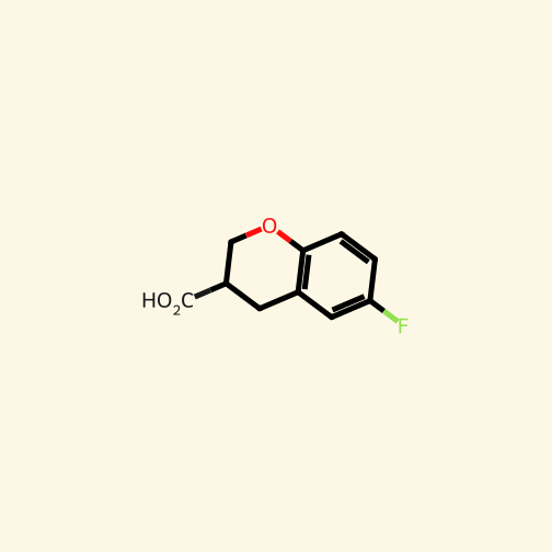 O=C(O)C1COc2ccc(F)cc2C1